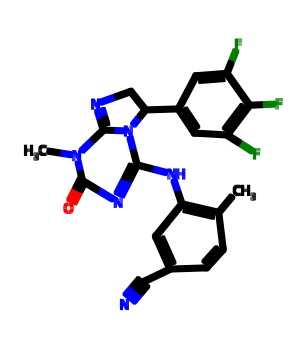 Cc1ccc(C#N)cc1NC1=NC(=O)N(C)C2=NCC(c3cc(F)c(F)c(F)c3)N12